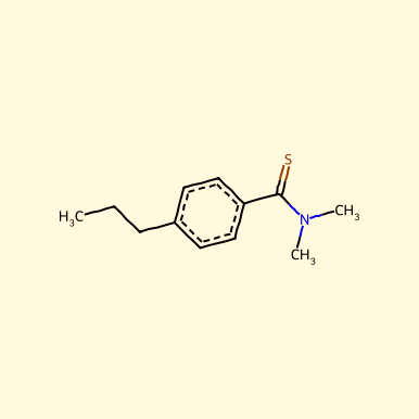 CCCc1ccc(C(=S)N(C)C)cc1